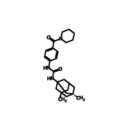 C[C@]12CC3CC(NC(=O)Nc4ccc(C(=O)N5CCCCC5)cc4)(C1)C[C@@](C)(C3)C2